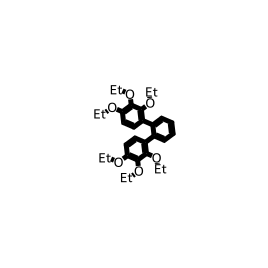 CCOc1ccc(-c2ccccc2-c2ccc(OCC)c(OCC)c2OCC)c(OCC)c1OCC